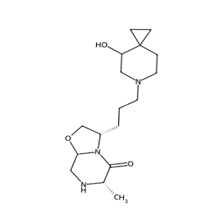 C[C@@H]1NCC2OC[C@H](CCCN3CCC4(CC4)C(O)C3)N2C1=O